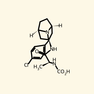 C[C@H](NC(=O)O)C(=O)N[C@H]1C[C@H]2CC[C@@H](C1)N2Cc1ccc(Cl)cc1